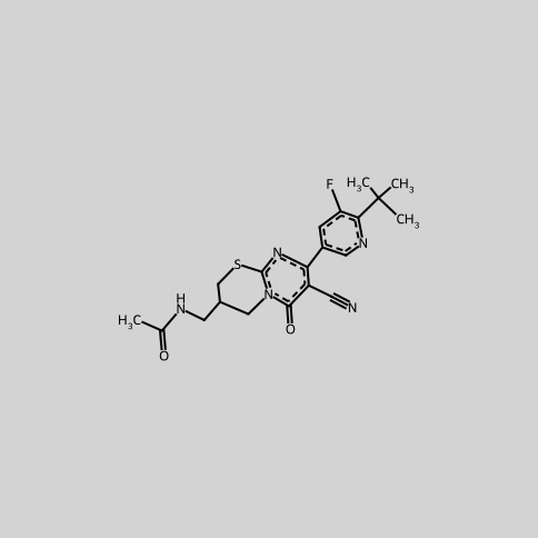 CC(=O)NCC1CSc2nc(-c3cnc(C(C)(C)C)c(F)c3)c(C#N)c(=O)n2C1